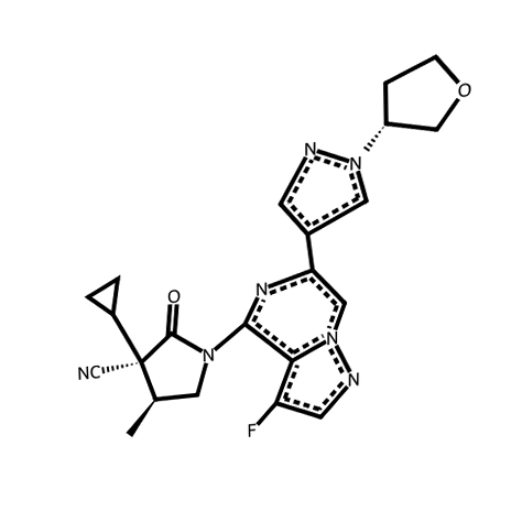 C[C@@H]1CN(c2nc(-c3cnn([C@@H]4CCOC4)c3)cn3ncc(F)c23)C(=O)[C@]1(C#N)C1CC1